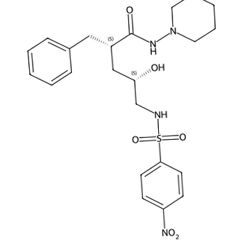 O=C(NN1CCCCC1)[C@@H](Cc1ccccc1)C[C@H](O)CNS(=O)(=O)c1ccc([N+](=O)[O-])cc1